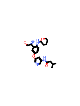 CC(C)CC(=O)Nc1cncc(Oc2ccc(NC3CCCCO3)c(C(=N)C=O)c2)c1